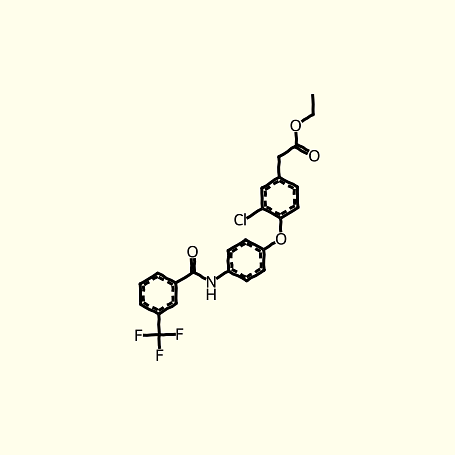 CCOC(=O)Cc1ccc(Oc2ccc(NC(=O)c3cccc(C(F)(F)F)c3)cc2)c(Cl)c1